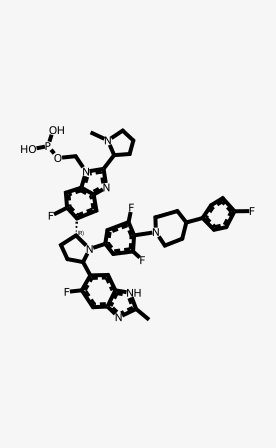 Cc1nc2cc(F)c(C3CC[C@H](c4cc5nc(C6CCCN6C)n(COP(O)O)c5cc4F)N3c3cc(F)c(N4CCC(c5ccc(F)cc5)CC4)c(F)c3)cc2[nH]1